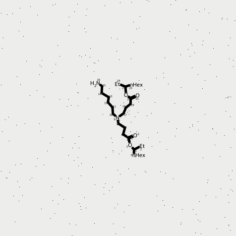 CCCCCCC(CC)OC(=O)CCCN(CCCCCCN)CCCC(=O)OC(CC)CCCCCC